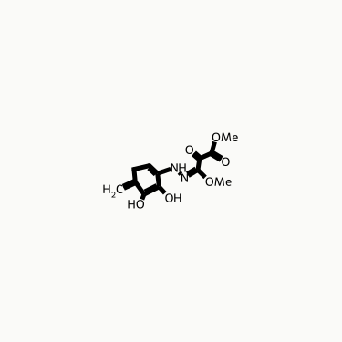 C=C1CC=C(NN=C(OC)C(=O)C(=O)OC)C(O)=C1O